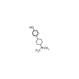 CN(C)C1CCC(c2ccc(O)cc2)CC1